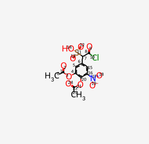 CC(=O)Oc1cc(C(C(=O)Cl)S(=O)(=O)O)cc([N+](=O)[O-])c1OC(C)=O